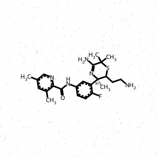 Cc1cnc(C(=O)Nc2ccc(F)c([C@@]3(C)N=C(N)C(C)(C)SC3CCN)c2)c(C)c1